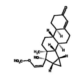 C[C@]12CC[C@H]3[C@@H](CCC4=CC(=O)CC[C@@H]43)[C@@H]1[C@@H]1C[C@@H]1[C@@]2(O)/C=C\OC(=O)O